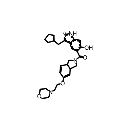 O=C(c1cc2c(CC3CCCC3)n[nH]c2cc1O)N1CC2C=CC(OCCN3CCOCC3)=CC2C1